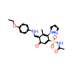 CCOc1ccc(NC=C2C(=O)C=C(S(=O)(=O)NC(C)=O)C(n3cccn3)=C2C)cc1